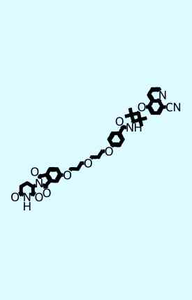 CC1(C)C(NC(=O)c2ccc(OCCCOCCCOc3ccc4c(c3)C(=O)N(C3CCC(=O)NC3=O)C4=O)cc2)C(C)(C)C1Oc1ccc(C#N)c2ncccc12